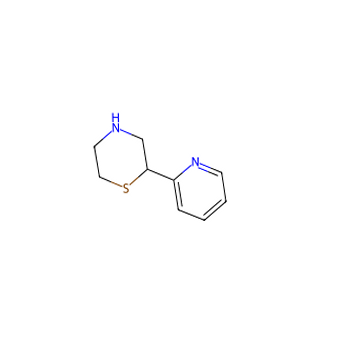 c1ccc(C2CNCCS2)nc1